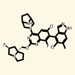 Cc1cc2[nH]ncc2c(-c2c(Cl)cc3c(N4CC5CCC(C4)N5)nc(OC[C@]45CCCN4C[C@@H](F)C5)nc3c2F)c1Cl